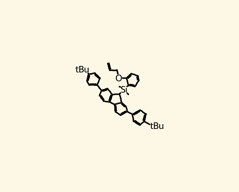 C=CCOc1ccccc1[Si](C)(C)C1c2cc(-c3ccc(C(C)(C)C)cc3)ccc2-c2ccc(-c3ccc(C(C)(C)C)cc3)cc21